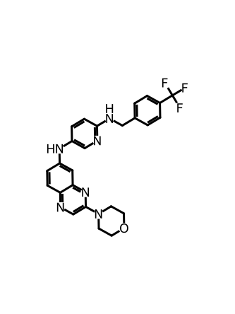 FC(F)(F)c1ccc(CNc2ccc(Nc3ccc4ncc(N5CCOCC5)nc4c3)cn2)cc1